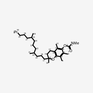 CNC(=O)Oc1c(C)c(C)c2c(c1C)CCC(C)(CCCC(C)CCCC(C)CCCC(C)C)O2